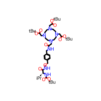 CC(C)C[C@@H](NC(=O)OC(C)(C)C)C(=O)NOCc1ccc(CNC(=O)CN2CCN(CC(=O)OC(C)(C)C)CCN(CC(=O)OC(C)(C)C)CCN(CC(=O)OC(C)(C)C)CC2)cc1